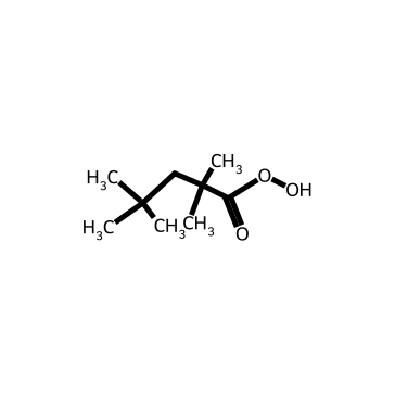 CC(C)(C)CC(C)(C)C(=O)OO